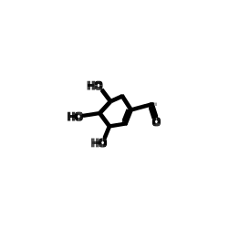 O=[C]C1=CC(O)C(O)C(O)C1